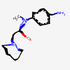 CN(C(=O)CN1CCCC1)c1ccc(N)cc1